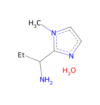 CCC(N)c1nccn1C.O